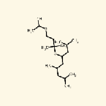 CC(C)CC(C)CC(CC(C)C)OC(C)(C)CCOC(C)C